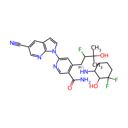 CC(C)(O)C(F)[C@H](NC1CCCC(F)(F)C1O)c1cc(-n2ccc3cc(C#N)cnc32)ncc1C(N)=O